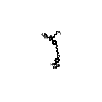 CCCCc1sc(NCC)nc1-c1ccc(OCCCCCOc2ccc(C(=N)NO)cc2)cc1